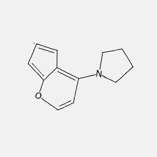 [c]1cc2occc(N3CCCC3)c-2c1